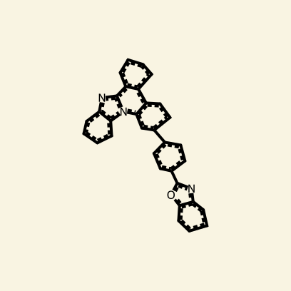 c1ccc2oc(-c3ccc(-c4ccc5c6ccccc6c6nc7ccccc7n6c5c4)cc3)nc2c1